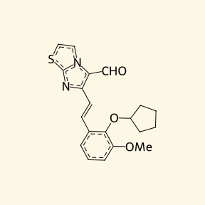 COc1cccc(/C=C/c2nc3sccn3c2C=O)c1OC1CCCC1